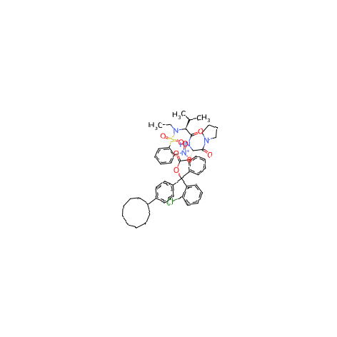 CCN([C@H](C(=O)N[C@@H](CC(=O)OC(c1ccccc1)(c1ccc(C2CCCCCCCC2)cc1)c1ccccc1Cl)C(=O)N1CCCC1)C(C)C)S(=O)(=O)c1ccccc1[N+](=O)[O-]